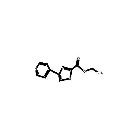 CCOC(=O)c1nc(-c2ccncc2)cs1